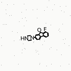 O=C1c2cc(N3CCNCC3)ccc2-c2cccc(F)c21